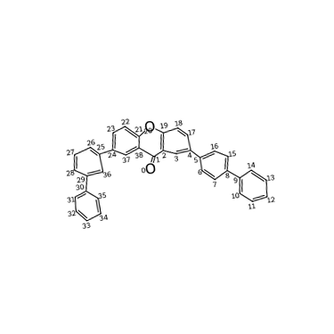 O=c1c2cc(-c3ccc(-c4ccccc4)cc3)ccc2oc2ccc(-c3cccc(-c4ccccc4)c3)cc12